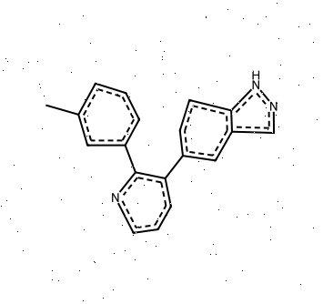 Cc1cccc(-c2ncccc2-c2ccc3[nH]ncc3c2)c1